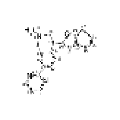 CN1Cc2cc(-c3ncncn3)ccc2C(c2cc3ccccc3o2)C1